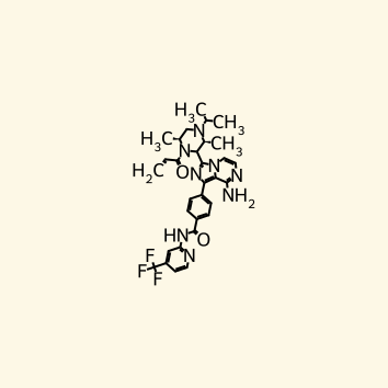 C=CC(=O)N1C(c2nc(-c3ccc(C(=O)Nc4cc(C(F)(F)F)ccn4)cc3)c3c(N)nccn23)[C@H](C)N(C(C)C)C[C@@H]1C